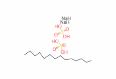 CCCCCCCCCCCCCC.O=S(=O)(O)O.O=S(=O)(O)O.[NaH].[NaH]